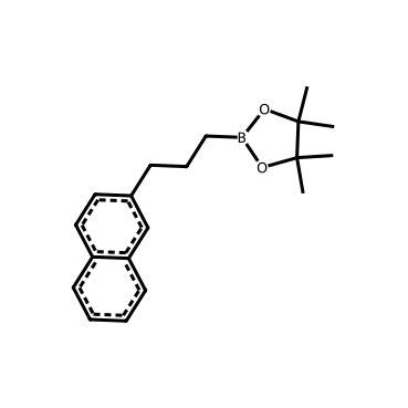 CC1(C)OB(CCCc2ccc3ccccc3c2)OC1(C)C